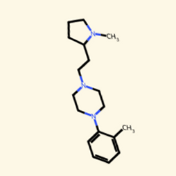 Cc1ccccc1N1CCN(CCC2CCCN2C)CC1